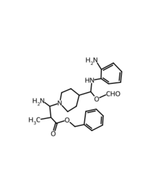 CC(C(=O)OCc1ccccc1)C(N)N1CCC(C(Nc2ccccc2N)OC=O)CC1